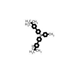 Cc1ccc(N(c2ccc(-c3ccc(C(C)(C)C)cc3)cc2)c2ccc(-c3ccc(C(C)(C)C)cc3)cc2)cc1